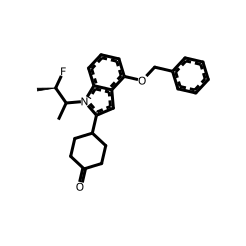 CC([C@@H](C)F)n1c(C2CCC(=O)CC2)cc2c(OCc3ccccc3)cccc21